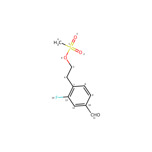 CS(=O)(=O)OCCc1ccc(C=O)cc1F